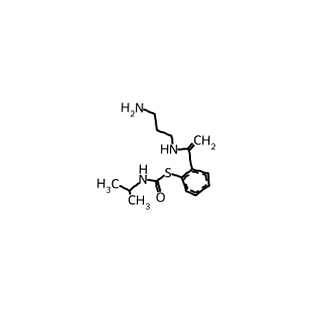 C=C(NCCCN)c1ccccc1SC(=O)NC(C)C